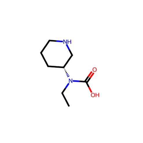 CCN(C(=O)O)[C@@H]1CCCNC1